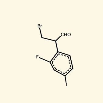 O=CC(CBr)c1ccc(I)cc1F